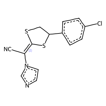 N#C/C(=C1\SCC(c2ccc(Cl)cc2)S1)n1ccnc1